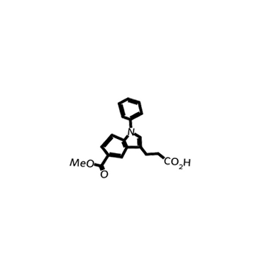 COC(=O)c1ccc2c(c1)c(CCC(=O)O)cn2-c1ccccc1